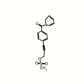 CS(=O)(=O)OCC#Cc1ccc(C(=O)N2C=CC=CC2)cc1